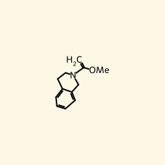 C=C(OC)N1CCc2ccccc2C1